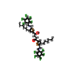 CCCCCCc1cc(C(=O)CCC(=O)c2cc(CCCCCC)c(/C=C/c3c(F)c(F)c(F)c(F)c3F)s2)sc1/C=C/c1c(F)c(F)c(F)c(F)c1F